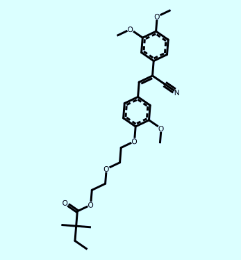 CCC(C)(C)C(=O)OCCOCCOc1ccc(/C=C(\C#N)c2ccc(OC)c(OC)c2)cc1OC